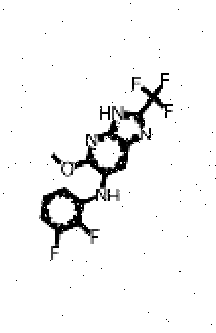 COc1nc2[nH]c(C(F)(F)F)nc2cc1Nc1cccc(F)c1F